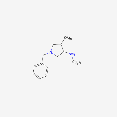 COC1CN(Cc2ccccc2)CC1NC(=O)O